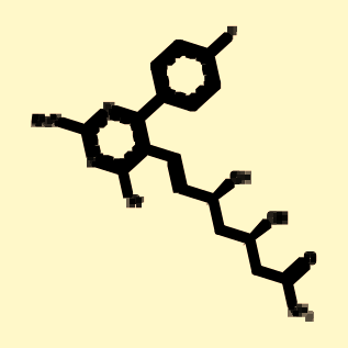 CNc1nc(-c2ccc(F)cc2)c(/C=C/[C@@H](O)C[C@@H](O)CC(N)=O)c(C(C)C)n1